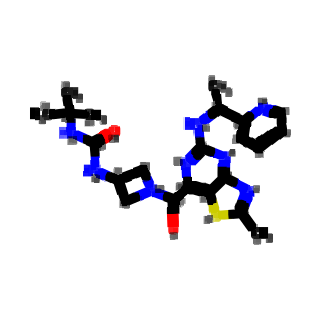 Cc1nc2nc(N[C@@H](C)c3ccccn3)nc(C(=O)N3CC(NC(=O)NC(C)(C)C)C3)c2s1